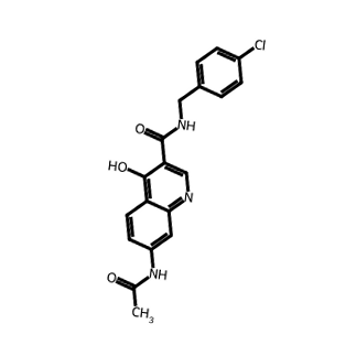 CC(=O)Nc1ccc2c(O)c(C(=O)NCc3ccc(Cl)cc3)cnc2c1